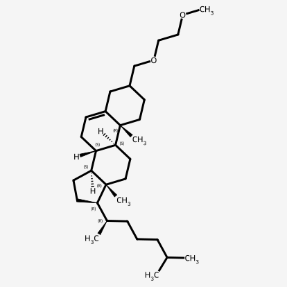 COCCOCC1CC[C@@]2(C)C(=CC[C@H]3[C@@H]4CC[C@H]([C@H](C)CCCC(C)C)[C@@]4(C)CC[C@@H]32)C1